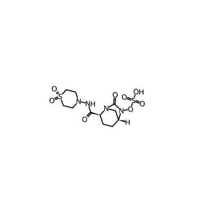 O=C(NN1CCS(=O)(=O)CC1)[C@@H]1CC[C@@H]2CN1C(=O)N2OS(=O)(=O)O